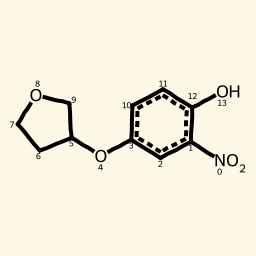 O=[N+]([O-])c1cc(OC2CCOC2)ccc1O